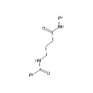 CC(C)NC(=O)CCCNC(=O)C(C)C